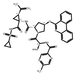 C=C(C)[C@@H]1C[C@]1(NC(=O)[C@@H]1C[C@@H](Oc2nc3ccccc3c3ccccc23)CN1C(=O)[C@H](CCCCCC)NC(=O)c1cnc(C)cn1)C(=O)NS(=O)(=O)C1CC1